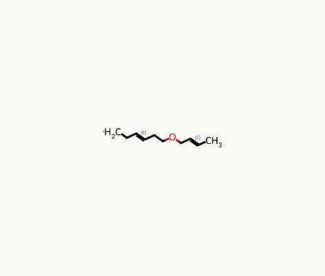 [CH2]C/C=C/CCOC/C=C/C